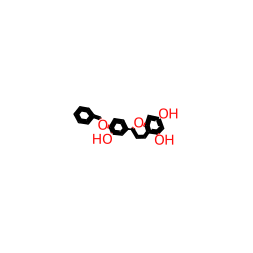 Oc1cc(O)c2c(c1)O[C@H](c1ccc(OCc3ccccc3)c(O)c1)CC2